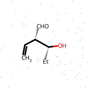 C=C[C@H](C=O)[C@H](O)CC